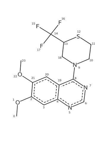 COc1cc2ncnc(N3CCSC(C(F)(F)F)C3)c2cc1OC